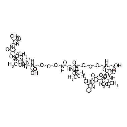 CCc1c2c(nc3ccccc13)-c1cc3c(c(=O)n1C2)COC(=O)[C@@]3(CC)OC(=O)[C@@H](NC(=O)[C@@H]1CCCN1C(=O)[C@H](CC(=O)O)NC(=O)CCOCCOCCOCCNC(=O)CC[C@H](NC(=O)OC(C)(C)C)C(=O)NCCOCCOCCOCCC(=O)N[C@@H](CC(=O)O)C(=O)N1CCC[C@H]1C(=O)N[C@H](C(=O)O[C@]1(CC)C(=O)OCc2c1cc1n(c2=O)Cc2c-1nc1ccccc1c2CC)C(C)C)C(C)C